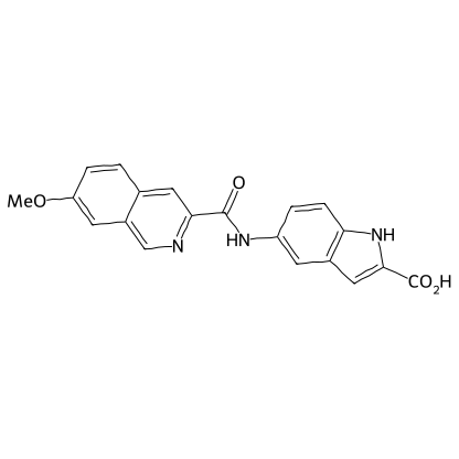 COc1ccc2cc(C(=O)Nc3ccc4[nH]c(C(=O)O)cc4c3)ncc2c1